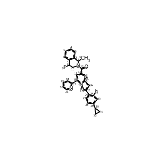 CC1c2ccccc2C(F)CN1C(=O)c1cc(-c2ccccn2)n2nc(-c3ccc(C4CC4)cc3F)cc2n1